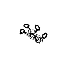 OC1O[C@H](COCc2ccccc2)[C@H](OCc2ccccc2)[C@H](OCc2ccccc2)[C@H]1OC(Cl)c1ccccc1